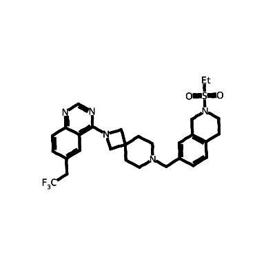 CCS(=O)(=O)N1CCc2ccc(CN3CCC4(CC3)CN(c3ncnc5ccc(CC(F)(F)F)cc35)C4)cc2C1